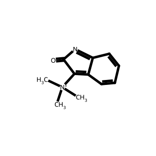 C[N+](C)(C)C1=c2ccccc2=NC1=O